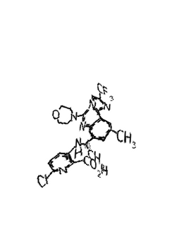 Cc1cc([C@@H](C)Nc2ccc(Cl)nc2C(=O)O)c2nc(N3CCOCC3)n3cc(C(F)(F)F)nc3c2c1